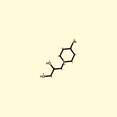 CC(C)C1CCN(CC(O)CO)CC1